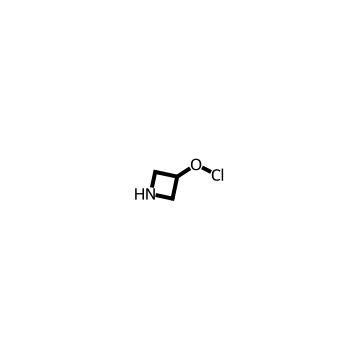 ClOC1CNC1